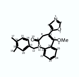 COC1=C(c2cnco2)CC(=O)N(Cc2ccc(C)c(C)c2)c2ccccc21